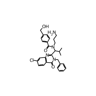 CC(C)C(c1nc2cc(Cl)ccc2c(=O)n1Cc1ccccc1)N(CCCN)C(=O)c1ccc(CO)cc1